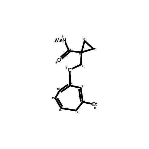 CCC1=CC(OCC2(C(=O)NC)CC2)=CC=CC1